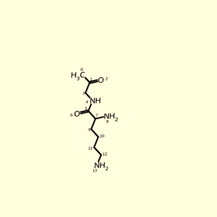 CC(=O)CNC(=O)C(N)CCCCN